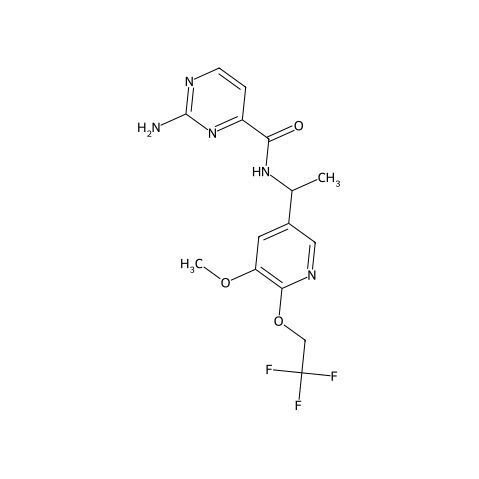 COc1cc(C(C)NC(=O)c2ccnc(N)n2)cnc1OCC(F)(F)F